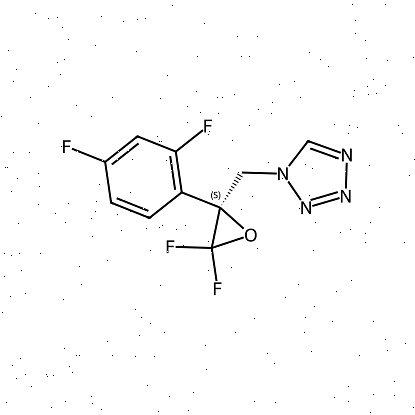 Fc1ccc([C@@]2(Cn3cnnn3)OC2(F)F)c(F)c1